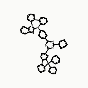 c1ccc(-c2nc(-c3ccc(N4c5ccccc5-c5ccccc5-n5c4nc4ccccc45)cc3)nc(-c3ccc4c(c3)C(c3ccccc3)(c3ccccc3)c3ccccc3-4)n2)cc1